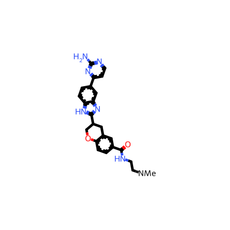 CNCCNC(=O)c1ccc2c(c1)CC(c1nc3cc(-c4ccnc(N)n4)ccc3[nH]1)CO2